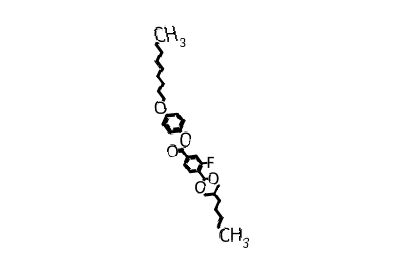 CCCCCCCCCOc1ccc(OC(=O)c2ccc(C3OCC(CCCCC)CO3)c(F)c2)cc1